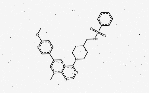 COc1ccc(-c2cc(C)c3ncnc(N4CCC(CNS(=O)(=O)c5ccccc5)CC4)c3c2)cn1